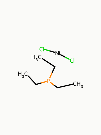 CCP(CC)CC.[Cl][Ni][Cl]